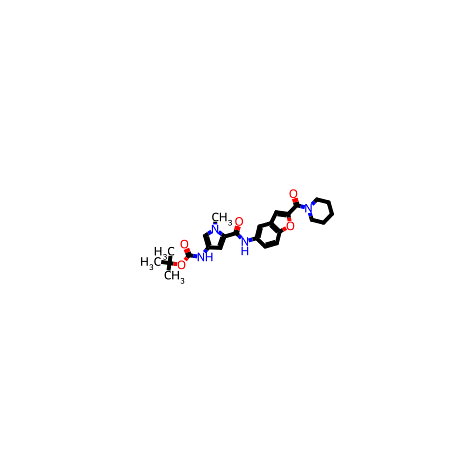 Cn1cc(NC(=O)OC(C)(C)C)cc1C(=O)Nc1ccc2oc(C(=O)N3CCCCC3)cc2c1